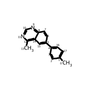 Cc1ccc(-c2ccc3ncnc(C)c3c2)cc1